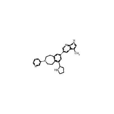 Cc1c[nH]c2ncc(-c3cc4c(c(C5CCCN5)c3)CCN(c3cccnc3)CC4)cc12